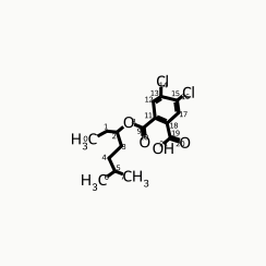 CCC(CCC(C)C)OC(=O)c1cc(Cl)c(Cl)cc1C(=O)O